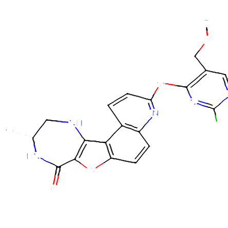 CCOCc1cnc(Cl)nc1Oc1ccc2c(ccc3oc4c(c32)NC[C@@H](C)NC4=O)n1